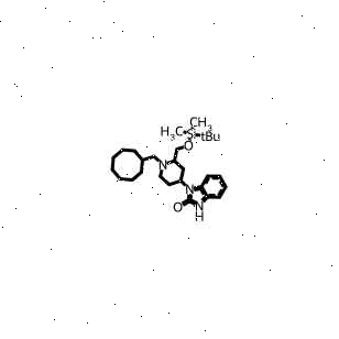 CC(C)(C)[Si](C)(C)OCC1CC(n2c(=O)[nH]c3ccccc32)CCN1CC1CCCCCCC1